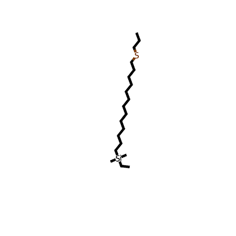 CCCSCCCCCCCCCCCCC[Si](C)(C)CC